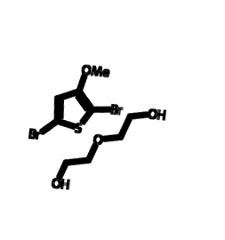 COc1cc(Br)sc1Br.OCCOCCO